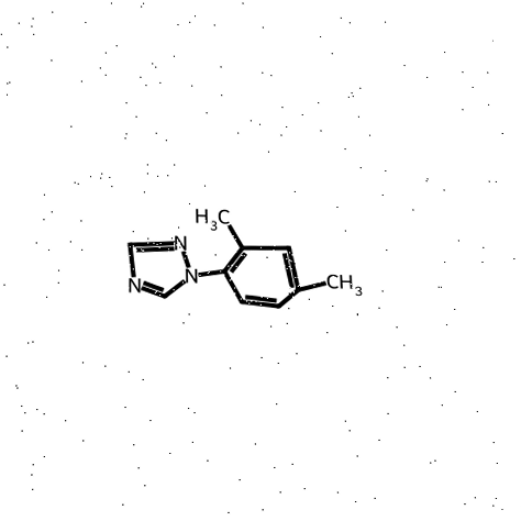 Cc1ccc(-n2cncn2)c(C)c1